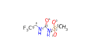 CS(=O)(=O)NC(=O)NCC(F)(F)F